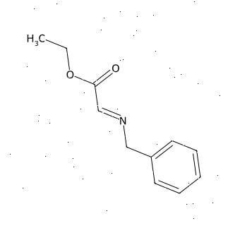 CCOC(=O)/C=N/Cc1ccccc1